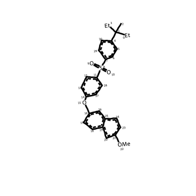 CCC(C)(CC)c1ccc(S(=O)(=O)c2ccc(Oc3ccc4cc(OC)ccc4c3)cc2)cc1